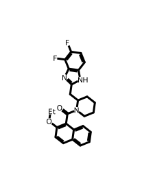 CCOc1ccc2ccccc2c1C(=O)N1CCCCC1Cc1nc2c(F)c(F)ccc2[nH]1